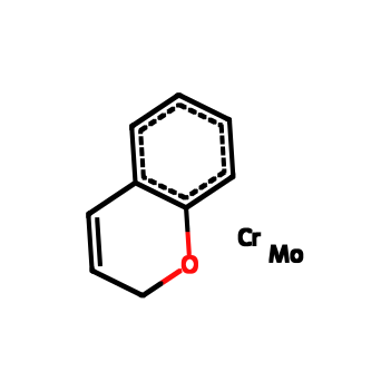 C1=Cc2ccccc2OC1.[Cr].[Mo]